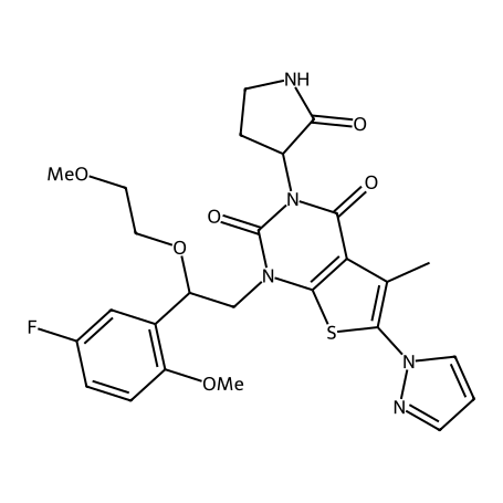 COCCOC(Cn1c(=O)n(C2CCNC2=O)c(=O)c2c(C)c(-n3cccn3)sc21)c1cc(F)ccc1OC